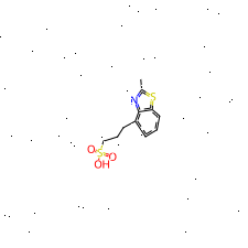 Cc1nc2c(CCCS(=O)(=O)O)cccc2s1